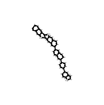 c1ccc2cc3c(cc2c1)sc1c2cc4cc(-c5ccc6cc(-c7ccc(-c8ccc9sccc9c8)cc7)ccc6c5)ccc4cc2sc31